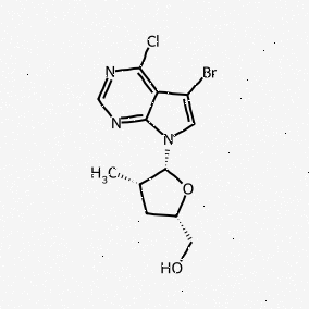 C[C@H]1C[C@@H](CO)O[C@H]1n1cc(Br)c2c(Cl)ncnc21